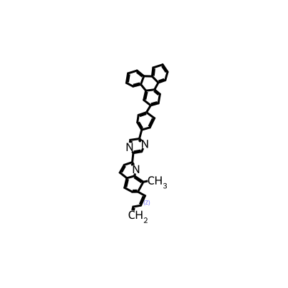 C=C/C=C\c1ccc2ccc(-c3cnc(-c4ccc(-c5ccc6c7ccccc7c7ccccc7c6c5)cc4)cn3)nc2c1C